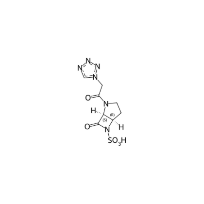 O=C(Cn1cnnn1)N1CC[C@@H]2[C@H]1C(=O)N2S(=O)(=O)O